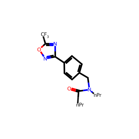 CCCC(=O)N(CCC)Cc1ccc(-c2noc(C(F)(F)F)n2)cc1